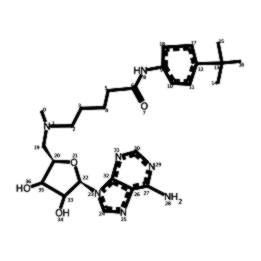 CN(CCCCC(=O)Nc1ccc(C(C)(C)C)cc1)C[C@H]1O[C@@H](n2cnc3c(N)ncnc32)C(O)C1O